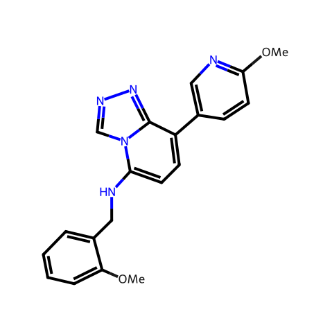 COc1ccc(-c2ccc(NCc3ccccc3OC)n3cnnc23)cn1